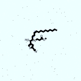 CCCCCCCCC/C=C\C=C\[C@@H](SCCC(=O)OC)[C@@H](O)c1csc(C#N)c1